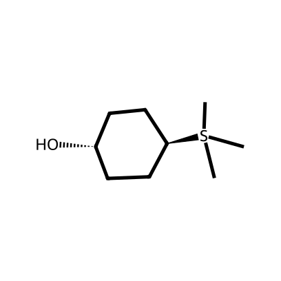 CS(C)(C)[C@H]1CC[C@H](O)CC1